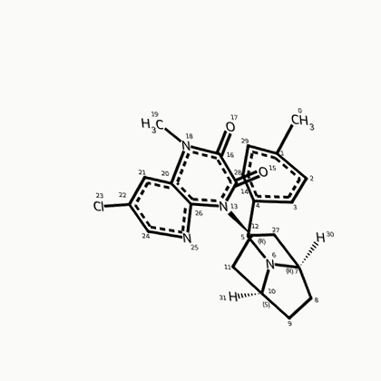 Cc1ccc(CN2[C@@H]3CC[C@H]2C[C@@H](n2c(=O)c(=O)n(C)c4cc(Cl)cnc42)C3)cc1